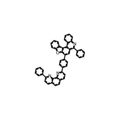 c1ccc(-c2ccc3ccc4ccc(-c5ccc(-c6cc7c(-c8ccccc8)nc8ccccc8c7c7c6oc6ccccc67)cc5)nc4c3n2)cc1